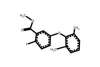 COC(=O)c1cc(Oc2c(C)cccc2C)ccc1F